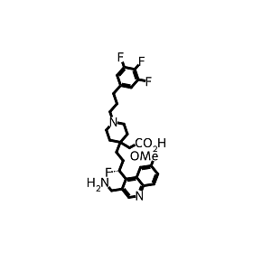 COc1ccc2ncc(CN)c([C@H](F)CCC3(CC(=O)O)CCN(CCCc4cc(F)c(F)c(F)c4)CC3)c2c1